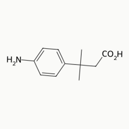 CC(C)(CC(=O)O)c1ccc(N)cc1